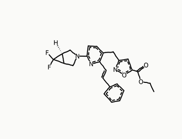 CCOC(=O)c1cc(Cc2ccc(N3CC4[C@H](C3)C4(F)F)nc2/C=C/c2ccccc2)no1